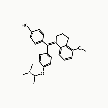 COc1cccc2c1CCCC2=C(c1ccc(O)cc1)c1ccc(OC(C)N(C)C)cc1